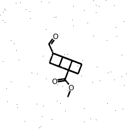 COC(=O)C12C3C4C1C1C2C3C41C=O